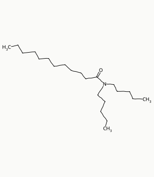 CCCCCCCCCCCC(=O)N(CCCCC)CCCCC